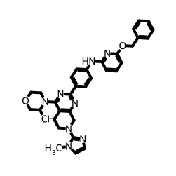 CC1COCCN1c1nc(-c2ccc(Nc3cccc(OCc4ccccc4)n3)cc2)nc2c1CCN(c1nccn1C)C2